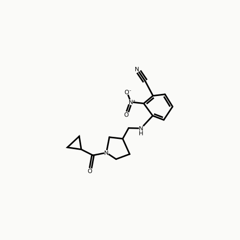 N#Cc1cccc(NCC2CCN(C(=O)C3CC3)C2)c1[N+](=O)[O-]